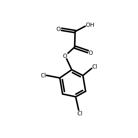 O=C(O)C(=O)Oc1c(Cl)cc(Cl)cc1Cl